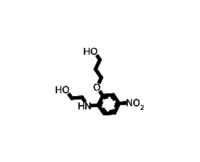 O=[N+]([O-])c1ccc(NCCO)c(OCCCO)c1